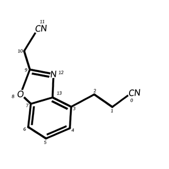 N#CCCc1cccc2oc(CC#N)nc12